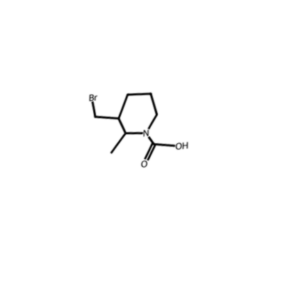 CC1C(CBr)CCCN1C(=O)O